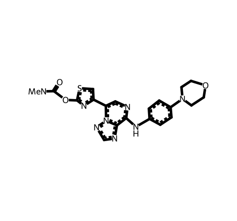 CNC(=O)Oc1nc(-c2cnc(Nc3ccc(N4CCOCC4)cc3)c3ncnn23)cs1